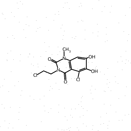 Cn1c(=O)n(CCCl)c(=O)c2c(Cl)c(O)c(O)cc21